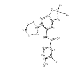 Cc1nc(C(=O)Nc2cc3c(cc2N2CCOCC2)OC(C)(C)C3)ccc1C#N